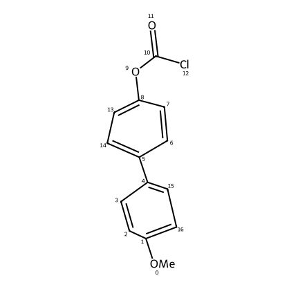 COc1ccc(-c2ccc(OC(=O)Cl)cc2)cc1